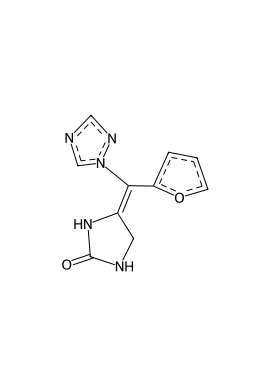 O=C1NCC(=C(c2ccco2)n2cncn2)N1